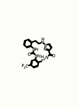 NC(=O)c1ccn(NCCc2ccccc2NC(=O)Nc2cc(C(F)(F)F)ccc2F)n1